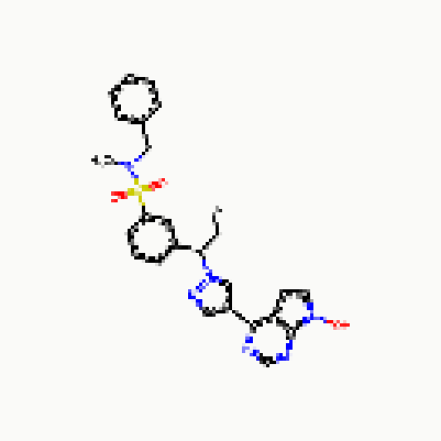 CN(Cc1ccccc1)S(=O)(=O)c1cccc(C(CC#N)n2cc(-c3ncnc4c3ccn4O)cn2)c1